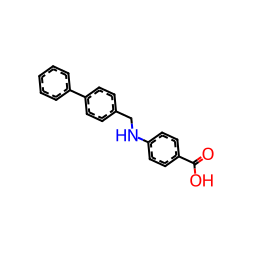 O=C(O)c1ccc(NCc2ccc(-c3ccccc3)cc2)cc1